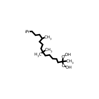 CC(C)CCCC(C)CCCC(C)(C)CCCCCC(C)(OO)OO